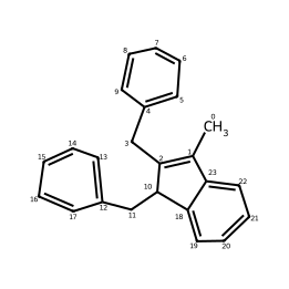 CC1=C(Cc2ccccc2)C(Cc2ccccc2)c2ccccc21